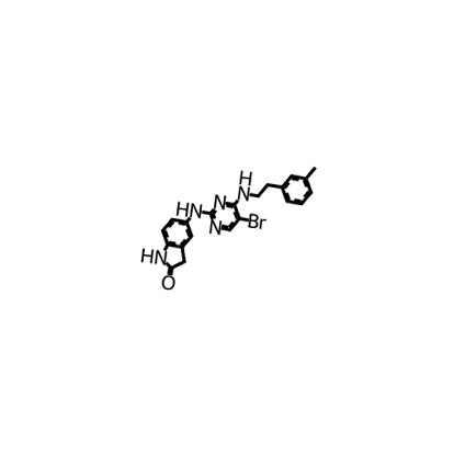 Cc1cccc(CCNc2nc(Nc3ccc4c(c3)CC(=O)N4)ncc2Br)c1